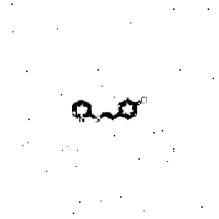 Clc1ccc(/C=C/Sc2cccnn2)cc1